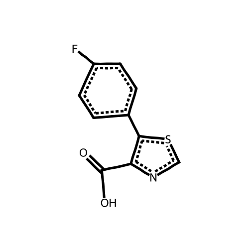 O=C(O)c1ncsc1-c1ccc(F)cc1